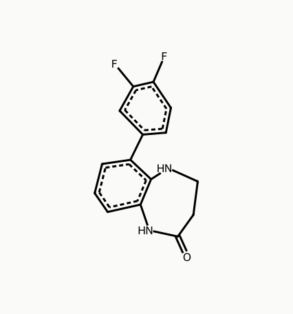 O=C1CCNc2c(cccc2-c2ccc(F)c(F)c2)N1